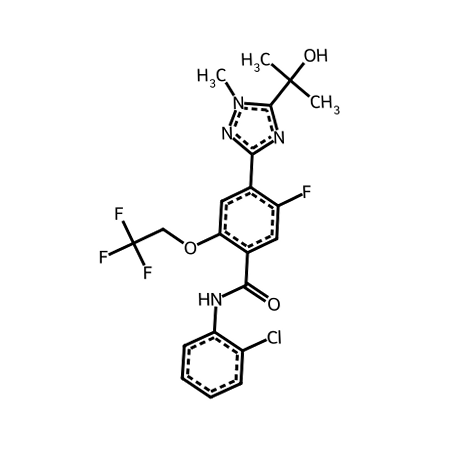 Cn1nc(-c2cc(OCC(F)(F)F)c(C(=O)Nc3ccccc3Cl)cc2F)nc1C(C)(C)O